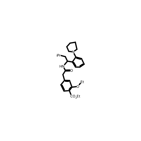 CCOC(=O)c1ccc(CC(=O)NC(CC(C)C)c2ccccc2N2CCCCC2)cc1OCC